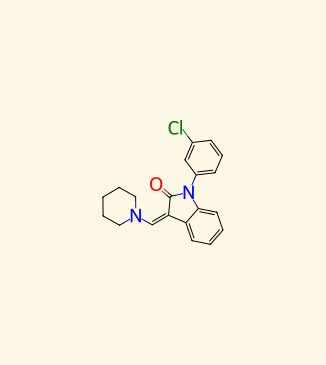 O=C1/C(=C\N2CCCCC2)c2ccccc2N1c1cccc(Cl)c1